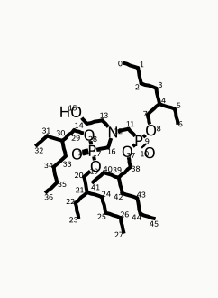 CCCCC(CC)COP(=O)(CN(CCO)CP(=O)(OCC(CC)CCCC)OCC(CC)CCCC)OCC(CC)CCCC